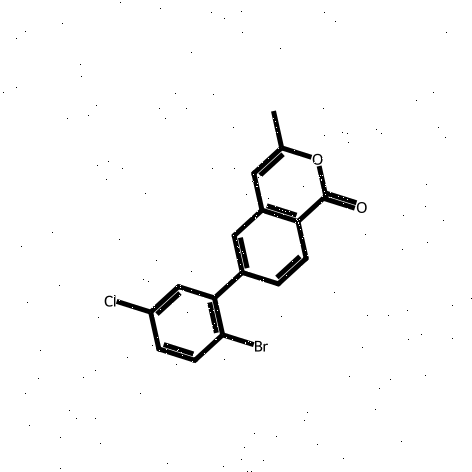 Cc1cc2cc(-c3cc(Cl)ccc3Br)ccc2c(=O)o1